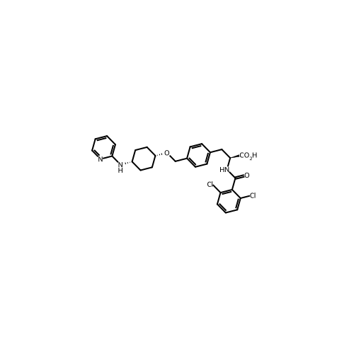 O=C(N[C@@H](Cc1ccc(CO[C@H]2CC[C@@H](Nc3ccccn3)CC2)cc1)C(=O)O)c1c(Cl)cccc1Cl